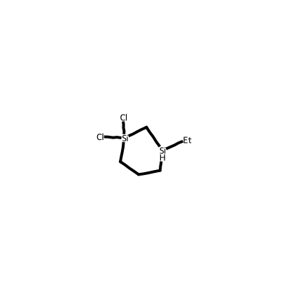 CC[SiH]1CCC[Si](Cl)(Cl)C1